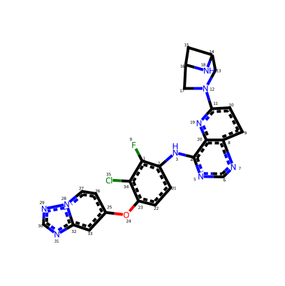 Fc1c(Nc2ncnc3ccc(N4CC5CC(C4)N5)nc23)ccc(Oc2ccn3ncnc3c2)c1Cl